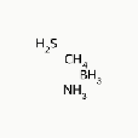 B.C.N.S